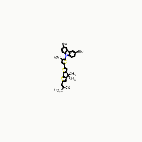 CCCCCCCCc1cc(-c2cc3c(s2)-c2sc(/C=C(\C#N)C(=O)O)cc2C3(C)C)sc1-n1c2ccc(C(C)(C)C)cc2c2cc(C(C)(C)C)ccc21